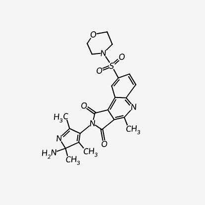 CC1=NC(C)(N)C(C)=C1N1C(=O)c2c(C)nc3ccc(S(=O)(=O)N4CCOCC4)cc3c2C1=O